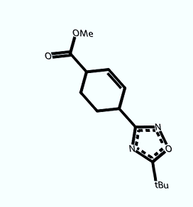 COC(=O)C1C=CC(c2noc(C(C)(C)C)n2)CC1